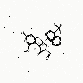 COc1nc(Cl)cc2c1[C@]1(O)C(=O)[C@H](C=O)[C@@H](c3ccccc3)[C@]1(c1ccc(C(F)(F)F)cc1)O2